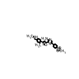 CNCc1ccc(-c2cc(-c3nc(-c4ccc(S(C)(=O)=O)cc4)cnc3N)on2)c(C)c1